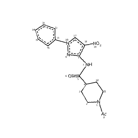 CC(=O)N1CCC(C(=O)Nc2nn(-c3ccccc3)cc2[N+](=O)[O-])CC1